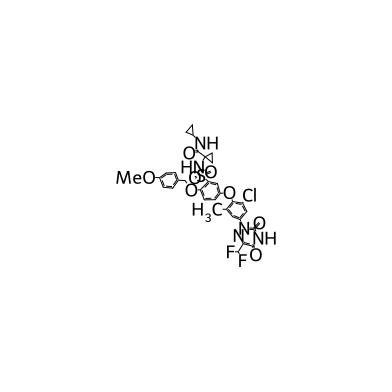 COc1ccc(COc2ccc(Oc3c(C)cc(-n4nc(C(F)F)c(=O)[nH]c4=O)cc3Cl)cc2S(=O)(=O)NC2(C(=O)NC3CC3)CC2)cc1